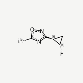 CC(C)c1nc([C@H]2C[C@@H]2F)no1